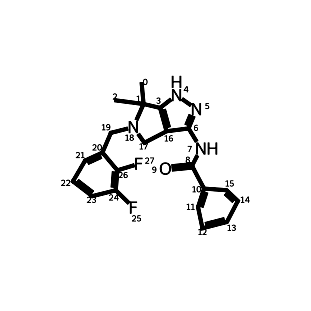 CC1(C)c2[nH]nc(NC(=O)c3ccccc3)c2CN1Cc1cccc(F)c1F